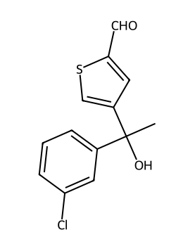 CC(O)(c1cccc(Cl)c1)c1csc(C=O)c1